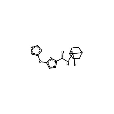 O=C(N[C@H]1CN2CCC1CC2)c1ccc(Oc2nncs2)s1